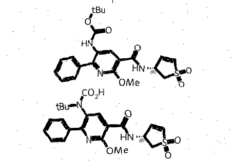 COc1nc(-c2ccccc2)c(N(C(=O)O)C(C)(C)C)cc1C(=O)N[C@@H]1C=CS(=O)(=O)C1.COc1nc(-c2ccccc2)c(NC(=O)OC(C)(C)C)cc1C(=O)N[C@@H]1C=CS(=O)(=O)C1